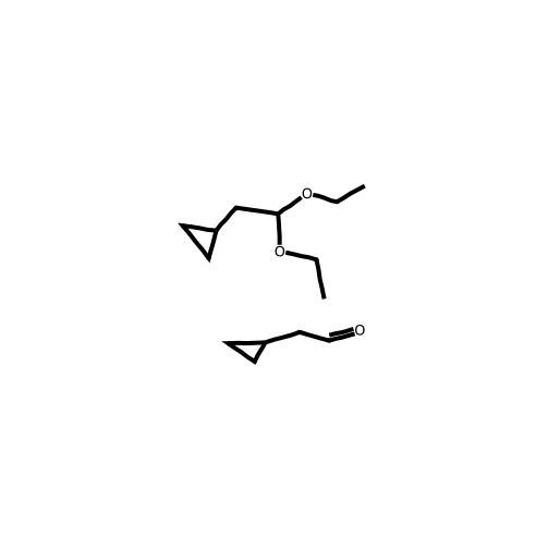 CCOC(CC1CC1)OCC.O=CCC1CC1